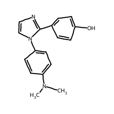 CN(C)c1ccc(-n2ccnc2-c2ccc(O)cc2)cc1